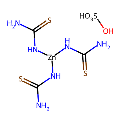 NC(=S)[NH][Zn]([NH]C(N)=S)[NH]C(N)=S.O=S(=O)(O)O